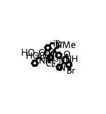 CC(C)Cc1ccc(C(C)C(=O)O)cc1.CNCCC(Oc1ccc(C(F)(F)F)cc1)c1ccccc1.C[C@@H](N)[C@@H](O)c1ccccc1.O=C1CN=C(c2ccccn2)c2cc(Br)ccc2N1